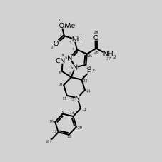 COC(=O)Nc1nn(C2(CC#N)CCN(Cc3ccc(I)cc3)CC2F)cc1C(N)=O